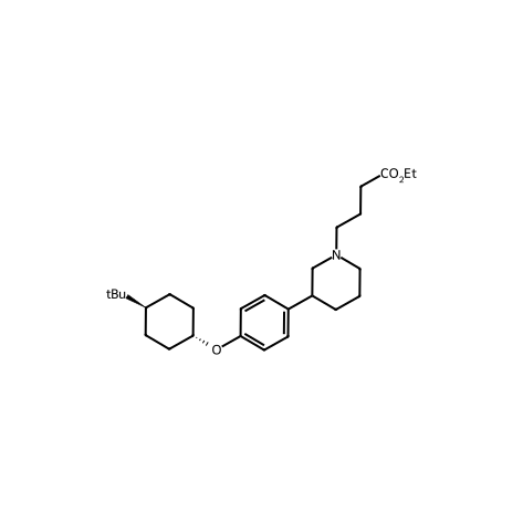 CCOC(=O)CCCN1CCCC(c2ccc(O[C@H]3CC[C@H](C(C)(C)C)CC3)cc2)C1